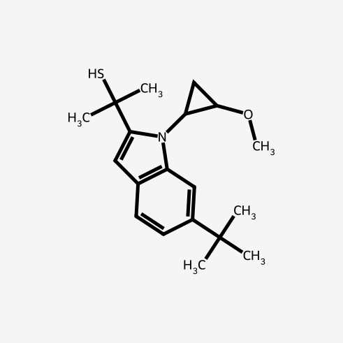 COC1CC1n1c(C(C)(C)S)cc2ccc(C(C)(C)C)cc21